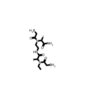 BCC(=O)N(CCNC(=O)C(I)N(CC)C(=O)CB)C(I)C(N)=O